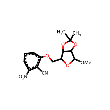 COC1OC(COc2cccc([N+](=O)[O-])c2C#N)C2OC(C)(C)OC12